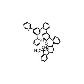 CC1(C)c2ccccc2C2CCC3=C(Oc4ccc(-c5ccccc5-c5cc(-c6ccccn6)cc(C6C=CC=CN6)c5)cc4-c4ccccc43)C21